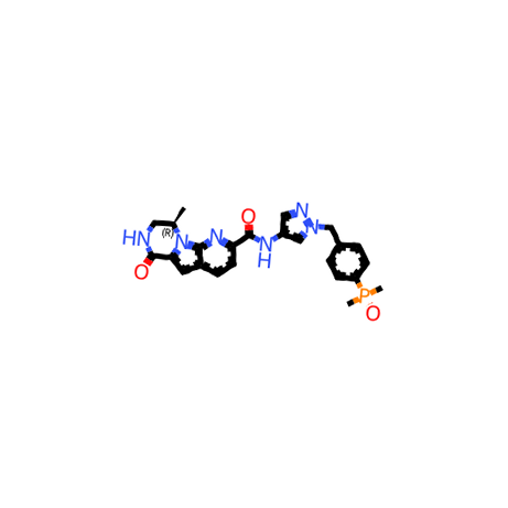 C[C@@H]1CNC(=O)c2cc3ccc(C(=O)Nc4cnn(Cc5ccc(P(C)(C)=O)cc5)c4)nc3n21